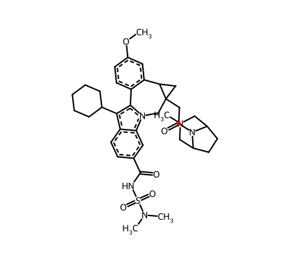 COc1ccc2c(c1)C1CC1(CC(=O)N1C3CCC1CN(C)C3)Cn1c-2c(C2CCCCC2)c2ccc(C(=O)NS(=O)(=O)N(C)C)cc21